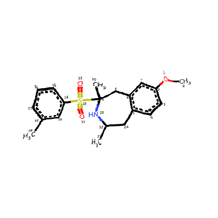 COc1ccc2c(c1)CC(C)(S(=O)(=O)c1cccc(C)c1)NC(C)C2